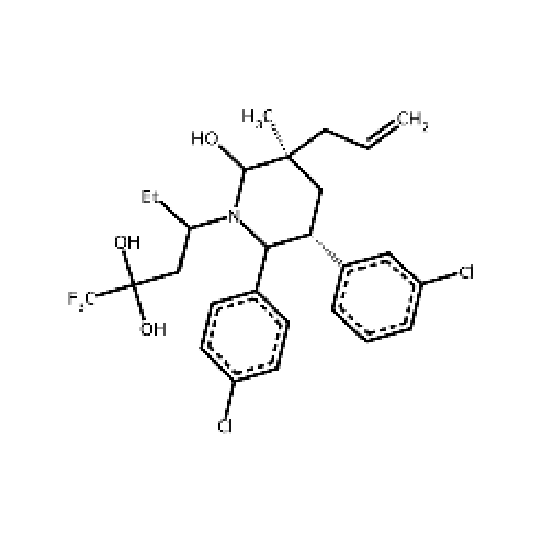 C=CC[C@@]1(C)C[C@H](c2cccc(Cl)c2)C(c2ccc(Cl)cc2)N(C(CC)CC(O)(O)C(F)(F)F)C1O